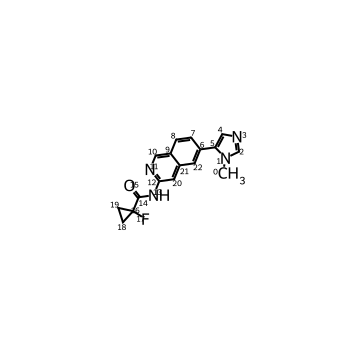 Cn1cncc1-c1ccc2cnc(NC(=O)C3(F)CC3)cc2c1